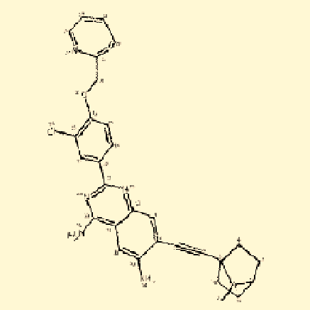 CN1C2CCC1(C#Cc1cc3nc(-c4ccc(OCc5ccccn5)c(Cl)c4)nc(N)c3cc1N)CC2